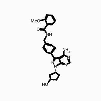 COc1ccccc1C(=O)NCc1ccc(-c2nn([C@@H]3CCC(O)C3)c3ncnc(N)c23)cc1